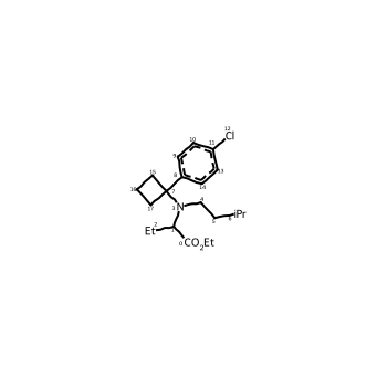 CCOC(=O)C(CC)N(CCC(C)C)C1(c2ccc(Cl)cc2)CCC1